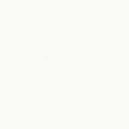 CCCCCCCCCOP(=O)([O-])Oc1ccccc1.[Na+]